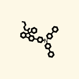 C=C(/C=C\C=C/C)C1(c2ccccc2)c2ccccc2-c2ccc(-c3ccc(N(c4ccc(-c5ccccc5)cc4)c4ccc(-c5ccccc5)cc4)cc3)cc21